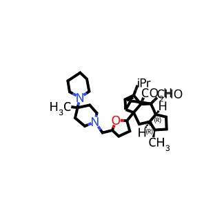 CC(C)C1=CC2CC3(C=O)[C@@H]4CC[C@@H](C)[C@H]4CC2(C2CCC(CN4CCC(C)(N5CCCCC5)CC4)O2)C13C(=O)O